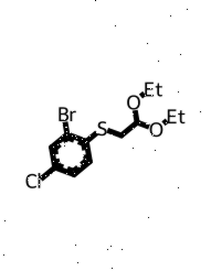 CCOC(CSc1ccc(Cl)cc1Br)OCC